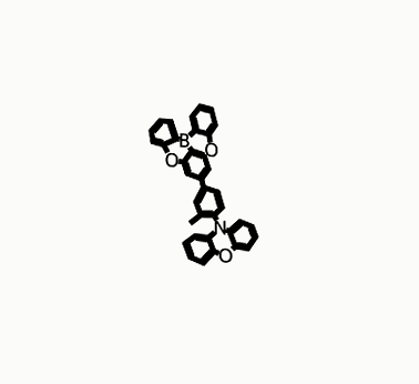 Cc1cc(-c2cc3c4c(c2)Oc2ccccc2B4c2ccccc2O3)ccc1N1c2ccccc2Oc2ccccc21